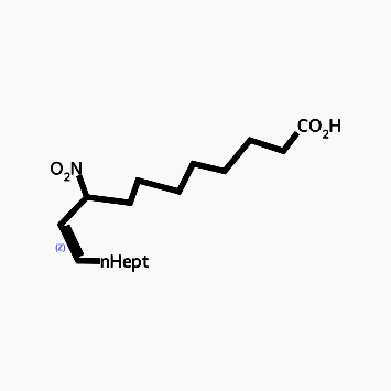 CCCCCCC/C=C\C(CCCCCCCC(=O)O)[N+](=O)[O-]